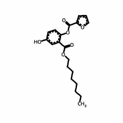 CCCCCCCCOC(=O)c1cc(O)ccc1OC(=O)c1ccco1